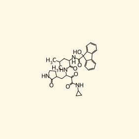 CC(C)CC(NC(=O)C1(O)c2ccccc2-c2ccccc21)C(=O)NC(CC1CCNC1=O)C(=O)C(=O)NC1CC1